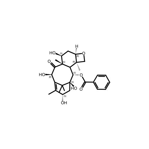 CC1=C2[C@@H](O)C(=O)[C@@]3(C)C([C@H](OC(=O)c4ccccc4)[C@](O)(C[C@@H]1O)C2(C)C)[C@]1(C)CO[C@@H]1C[C@@H]3O